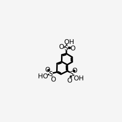 O=S(=O)(O)c1ccc2c(S(=O)(=O)O)cc(S(=O)(=O)O)cc2c1